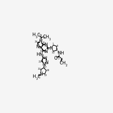 C=CC(=O)N[C@H]1CCN(c2nc(Nc3cnn([C@H]4CCN(C)C4)c3)c3ncn(C(C)C)c3n2)C1